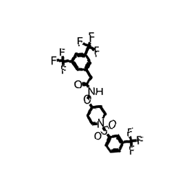 O=C(Cc1cc(C(F)(F)F)cc(C(F)(F)F)c1)NOC1CCN(S(=O)(=O)c2cccc(C(F)(F)F)c2)CC1